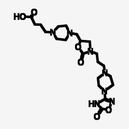 O=C(O)CCCN1CCN(CC2CN(CCCN3CCN(c4noc(=O)[nH]4)CC3)C(=O)O2)CC1